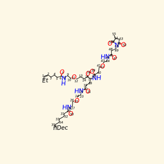 CC/C=C\CCCC(=O)NCCOCCCC(=O)[C@H](CCC(=O)NCCOCCNC(=O)CCCCCCCCCCCCCCC)NC(=O)CCOCCNC(=O)CCN1C(=O)CC(C)C1=O